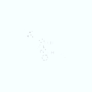 CC1=NN(C2CCN(S(=O)(=O)C3CC3)CC2)C(=O)C1=NNc1cccc(C2CCCC(C(=O)O)C2)c1O